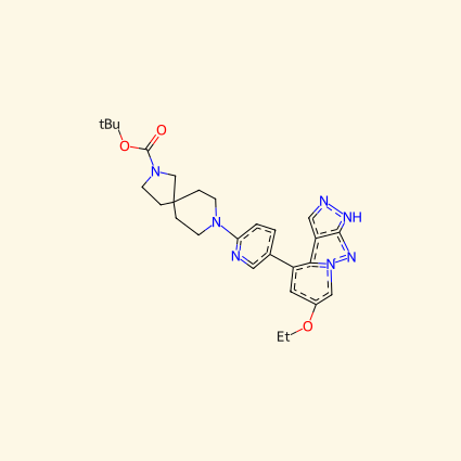 CCOc1cc(-c2ccc(N3CCC4(CCN(C(=O)OC(C)(C)C)C4)CC3)nc2)c2c3cn[nH]c3nn2c1